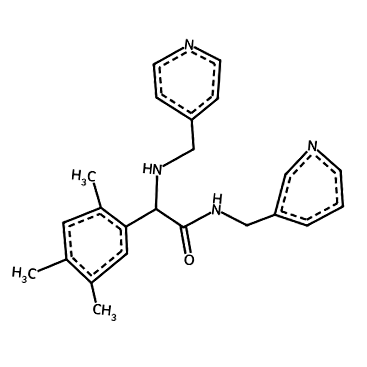 Cc1cc(C)c(C(NCc2ccncc2)C(=O)NCc2cccnc2)cc1C